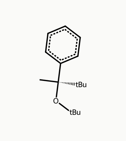 CC(C)(C)O[C@@](C)(c1ccccc1)C(C)(C)C